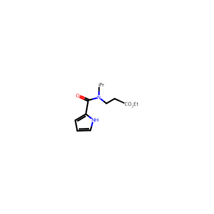 CCOC(=O)CCN(C(=O)c1ccc[nH]1)C(C)C